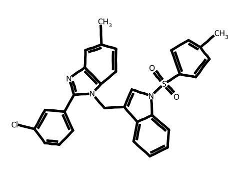 Cc1ccc(S(=O)(=O)n2cc(Cn3c(-c4cccc(Cl)c4)nc4cc(C)ccc43)c3ccccc32)cc1